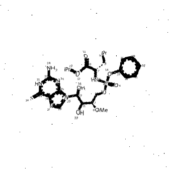 CO[C@H](COP(=O)(N[C@@H](CC(C)C)C(=O)OC(C)C)Oc1ccccc1)C(O)C(O)n1cnc2c(=S)[nH]c(N)nc21